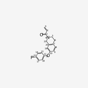 C=CC(=O)N1CCc2ccc(Oc3ccc(F)cc3)cc2C1